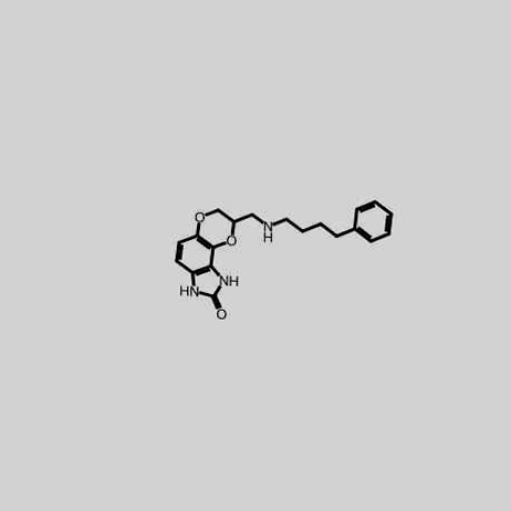 O=c1[nH]c2ccc3c(c2[nH]1)OC(CNCCCCc1ccccc1)CO3